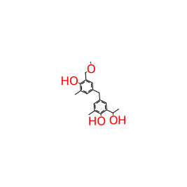 COCc1cc(Cc2cc(C)c(O)c(C(C)O)c2)cc(C)c1O